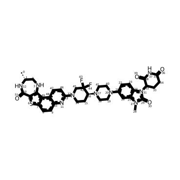 C[C@@H]1CNc2c(sc3ccc4nc(N5CC[C@H](N6CCN(c7ccc8c(c7)n(C)c(=O)n8C7CCC(=O)NC7=O)CC6)C(F)(F)C5)ccc4c23)C(=O)N1